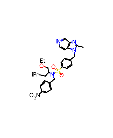 CCOC[C@H](CC(C)C)N(Cc1ccc([N+](=O)[O-])cc1)S(=O)(=O)c1ccc(Cn2c(C)nc3cnccc32)cc1